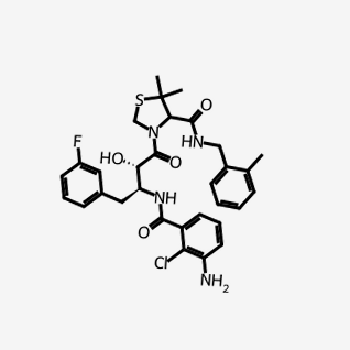 Cc1ccccc1CNC(=O)C1N(C(=O)[C@@H](O)[C@H](Cc2cccc(F)c2)NC(=O)c2cccc(N)c2Cl)CSC1(C)C